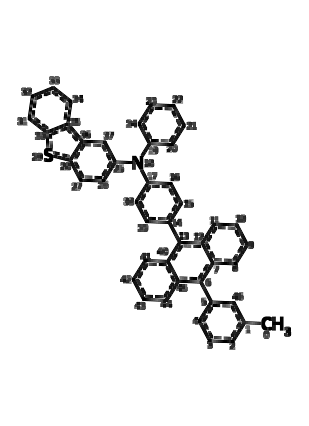 Cc1cccc(-c2c3ccccc3c(-c3ccc(N(c4ccccc4)c4ccc5sc6ccccc6c5c4)cc3)c3ccccc23)c1